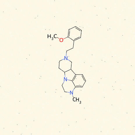 COc1ccccc1CCN1CCC2C(C1)c1cccc3c1N2CCN3C